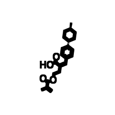 C=C(C)C(=O)OCCC(=Cc1ccc([C@H]2CC[C@H](C)CC2)cc1)C(=O)O